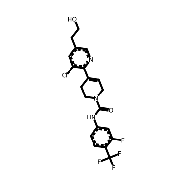 O=C(Nc1ccc(C(F)(F)F)c(F)c1)N1CC=C(c2ncc(CCO)cc2Cl)CC1